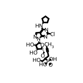 CC#CCC(CO)(OC[C@H]1O[C@@H](n2ncc3c(NC4CCCC4)nc(Cl)nc32)[C@H](O)[C@@H]1O)P(=O)(O)O